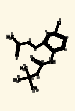 CC(=O)OCc1nc(Cl)ccc1NC(=O)OC(C)(C)C